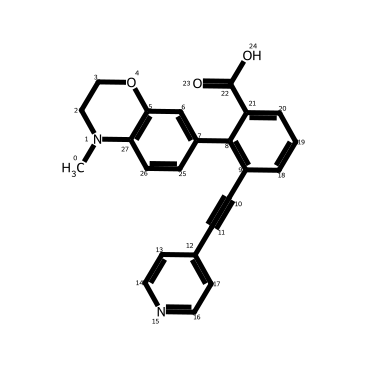 CN1CCOc2cc(-c3c(C#Cc4ccncc4)cccc3C(=O)O)ccc21